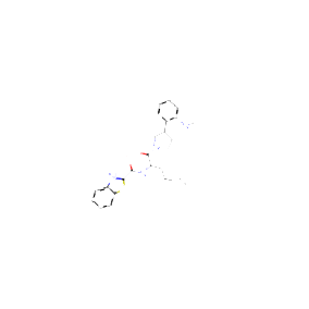 CC(C#N)CC(NC(=O)c1nc2ccccc2s1)C(=O)N1CCC(c2ccccc2NC=O)C1